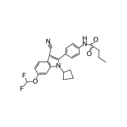 CCCS(=O)(=O)Nc1ccc(-c2c(C#N)c3ccc(OC(F)F)cc3n2C2CCC2)cc1